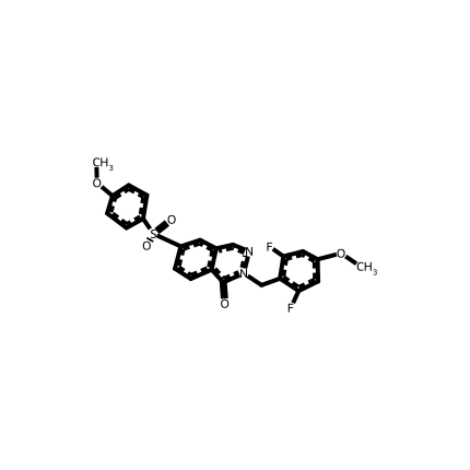 COc1ccc(S(=O)(=O)c2ccc3c(=O)n(Cc4c(F)cc(OC)cc4F)ncc3c2)cc1